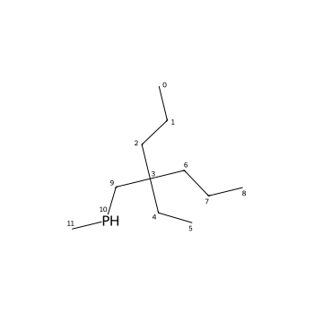 CCCC(CC)(CCC)CPC